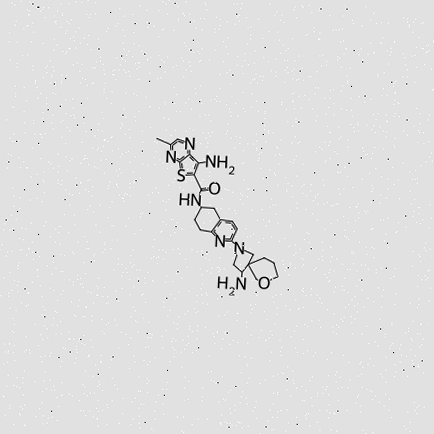 Cc1cnc2c(N)c(C(=O)NC3CCc4nc(N5CC(N)C6(CCCOC6)C5)ccc4C3)sc2n1